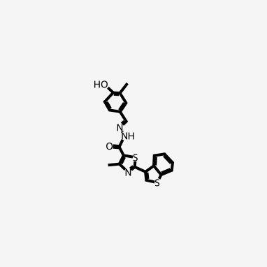 Cc1cc(/C=N/NC(=O)c2sc(-c3csc4ccccc34)nc2C)ccc1O